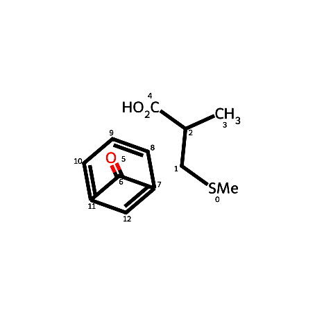 CSCC(C)C(=O)O.O=C1c2cccc1c2